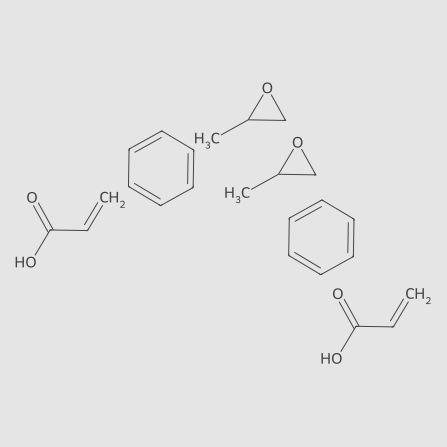 C=CC(=O)O.C=CC(=O)O.CC1CO1.CC1CO1.c1ccccc1.c1ccccc1